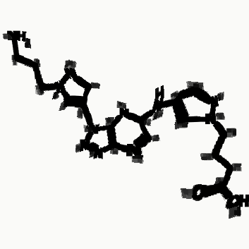 NCCCn1cc(-n2nnc3ncc(Nc4cnn(CCCC(=O)O)c4)nc32)cn1